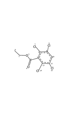 CCOC(=O)c1c(Cl)c(Cl)[c]c(Cl)c1Cl